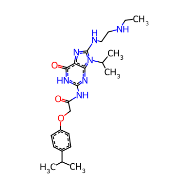 CCNCCNc1nc2c(=O)[nH]c(NC(=O)COc3ccc(C(C)C)cc3)nc2n1C(C)C